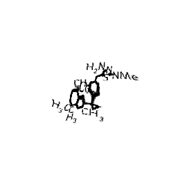 CNc1nc(N)c(Cc2ccc(C3(c4cc5c(cc4C)C(C)(C)CCC5(C)C)CC3)cc2)s1